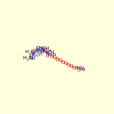 Cn1cc(NC(=O)c2nc(NC(=O)c3cc(NC(=O)c4cc(NC(=O)c5nccn5C)cn4C)cn3C)cn2C)cc1C(=O)NCCOCCOCCOCCOCCOCCOCCOCCOCCOc1ccc(NC(=O)OCc2ccccc2)cc1